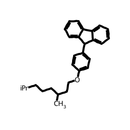 CC(C)CCCC(C)CCOc1ccc(C2c3ccccc3-c3ccccc32)cc1